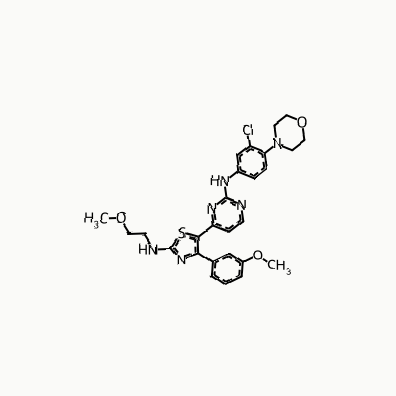 COCCNc1nc(-c2cccc(OC)c2)c(-c2ccnc(Nc3ccc(N4CCOCC4)c(Cl)c3)n2)s1